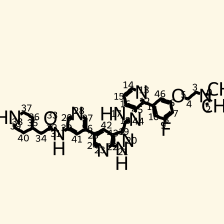 CN(C)CCOc1cc(F)cc(-c2nccc3[nH]c(-c4n[nH]c5ncc(-c6cncc(NC(=O)CC7CCNCC7)c6)cc45)nc23)c1